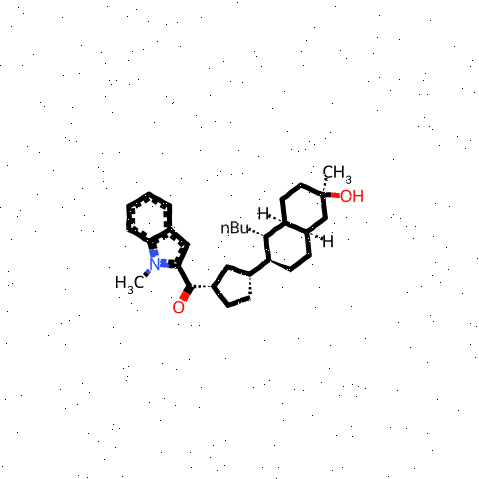 CCCC[C@H]1[C@H]([C@@H]2CC[C@H](C(=O)c3cc4ccccc4n3C)C2)CC[C@@H]2C[C@](C)(O)CC[C@@H]21